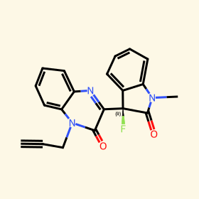 C#CCn1c(=O)c([C@@]2(F)C(=O)N(C)c3ccccc32)nc2ccccc21